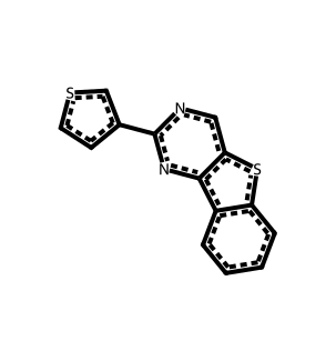 c1ccc2c(c1)sc1cnc(-c3ccsc3)nc12